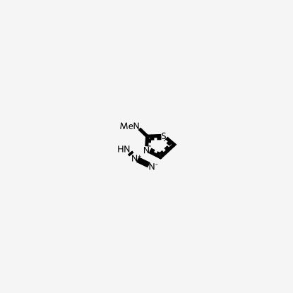 CNc1nccs1.[N-]=[N+]=N